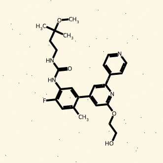 COC(C)(C)CCNC(=O)Nc1cc(-c2cc(OCCO)nc(-c3ccncc3)c2)c(C)cc1F